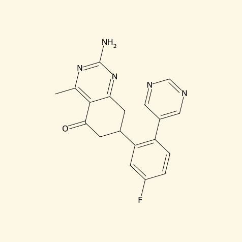 Cc1nc(N)nc2c1C(=O)CC(c1cc(F)ccc1-c1cncnc1)C2